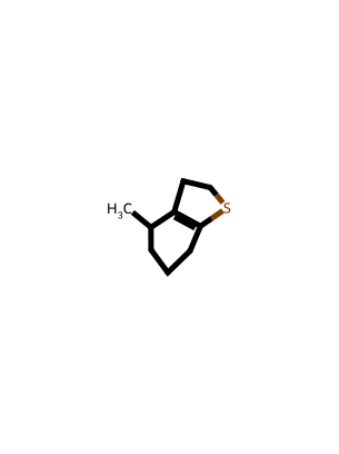 CC1CCCC2=C1CCS2